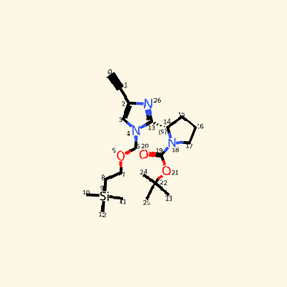 C#Cc1cn(COCC[Si](C)(C)C)c([C@@H]2CCCN2C(=O)OC(C)(C)C)n1